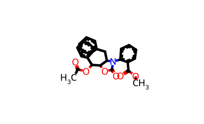 COC(=O)c1ccccc1N1C(=O)OC(C(OC(C)=O)c2ccccc2)C1Cc1ccccc1